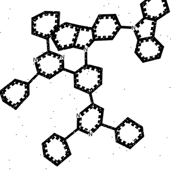 c1ccc(-c2cc(-c3ccc(-n4c5ccccc5c5ccc(-n6c7ccccc7c7ccccc76)cc54)c(-c4cc(-c5ccccc5)nc(-c5ccccc5)n4)c3)nc(-c3ccccc3)n2)cc1